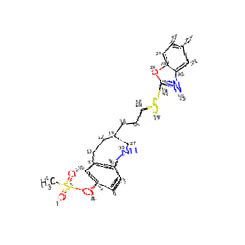 CS(=O)(=O)Oc1ccc2c(c1)CCC(CCCSc1nc3ccccc3o1)CN2